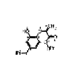 C=C(Oc1ccc(CC(C)C)cc1O)C(=O)OCCC